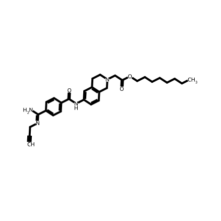 C#CCN=C(N)c1ccc(C(=O)Nc2ccc3c(c2)CCN(CC(=O)OCCCCCCCC)C3)cc1